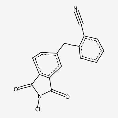 N#Cc1ccccc1Cc1ccc2c(c1)C(=O)N(Cl)C2=O